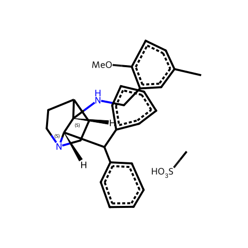 COc1ccc(C)cc1CN[C@H]1C2CCN(CC2)[C@H]1C(c1ccccc1)c1ccccc1.CS(=O)(=O)O